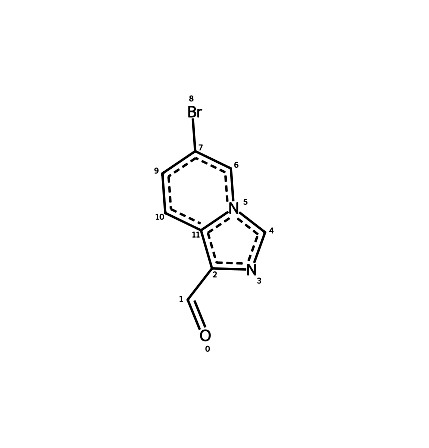 O=Cc1ncn2cc(Br)ccc12